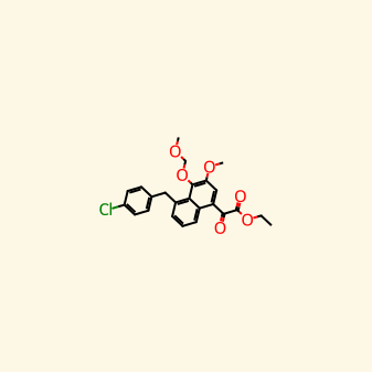 CCOC(=O)C(=O)c1cc(OC)c(OCOC)c2c(Cc3ccc(Cl)cc3)cccc12